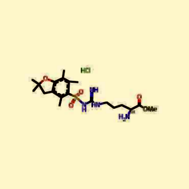 COC(=O)[C@@H](N)CCCNC(=N)NS(=O)(=O)c1c(C)c(C)c2c(c1C)CC(C)(C)O2.Cl